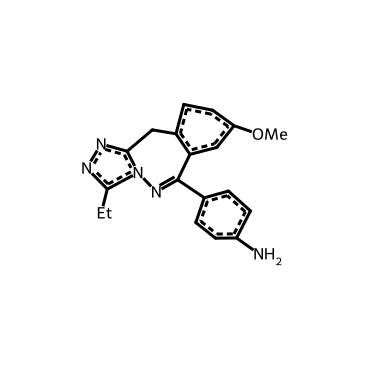 CCc1nnc2n1N=C(c1ccc(N)cc1)c1cc(OC)ccc1C2